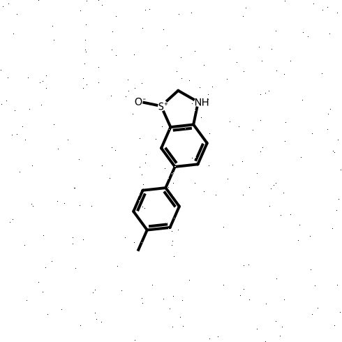 Cc1ccc(-c2ccc3c(c2)[S+]([O-])CN3)cc1